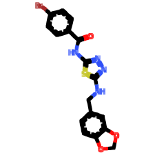 O=C(Nc1nnc(NCc2ccc3c(c2)OCO3)s1)c1ccc(Br)cc1